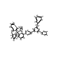 C1=CC2c3c(-c4ccc(-c5cc(-c6ccccc6)nc(-c6ccccc6)n5)cc4)cccc3C3(c4ccccc4Sc4ccccc43)C2C=C1